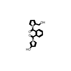 O=C(c1[c]cccc1C(=O)n1cccc1CO)n1ccc(O)c1